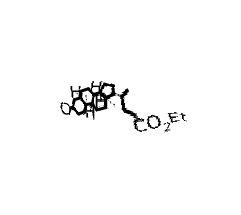 CCOC(=O)CCC(C)[C@H]1CC[C@H]2[C@@H]3CC[C@@H]4CC(=O)CC[C@]4(C)[C@H]3CC[C@]12C